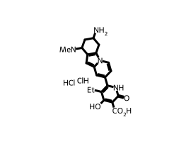 CCc1c(-c2ccn3c4c(cc3c2)C(NC)CC(N)C4)[nH]c(=O)c(C(=O)O)c1O.Cl.Cl